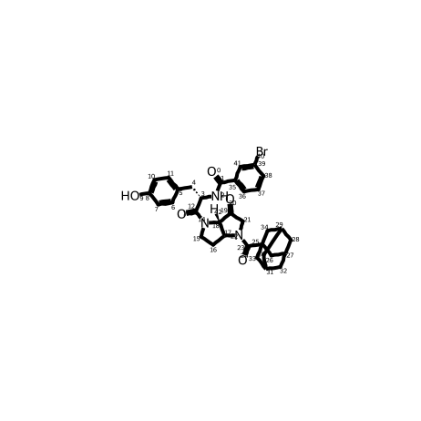 O=C(N[C@@H](Cc1ccc(O)cc1)C(=O)N1CCC2[C@H]1C(=O)CN2C(=O)C12CC3CC(CC(C3)C1)C2)c1cccc(Br)c1